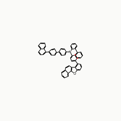 c1ccc(-c2ccccc2N(c2ccc(-c3ccc(-c4cccc5ccccc45)cc3)cc2)c2ccc(-c3cccc4oc5c6ccccc6ccc5c34)cc2)cc1